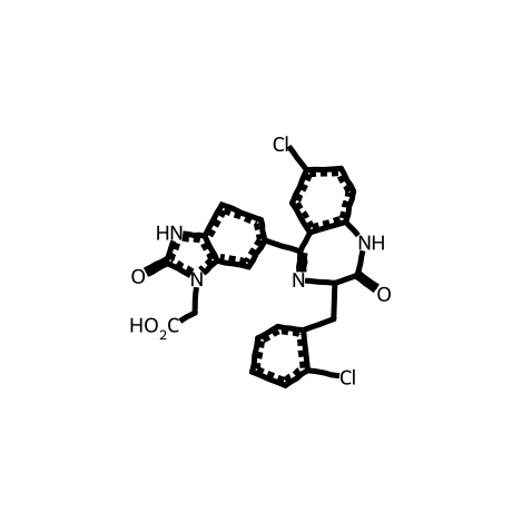 O=C(O)Cn1c(=O)[nH]c2ccc(C3=NC(Cc4ccccc4Cl)C(=O)Nc4ccc(Cl)cc43)cc21